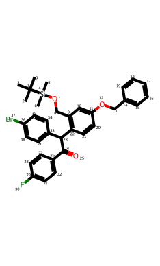 CC(C)(C)[Si](C)(C)OCc1cc(OCc2ccccc2)ccc1C(C(=O)c1ccc(F)cc1)c1ccc(Br)cc1